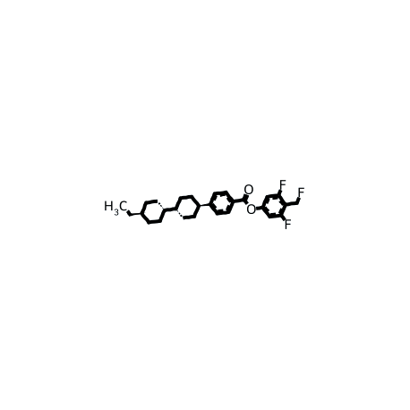 CC[C@H]1CC[C@H]([C@H]2CC[C@H](c3ccc(C(=O)Oc4cc(F)c(CF)c(F)c4)cc3)CC2)CC1